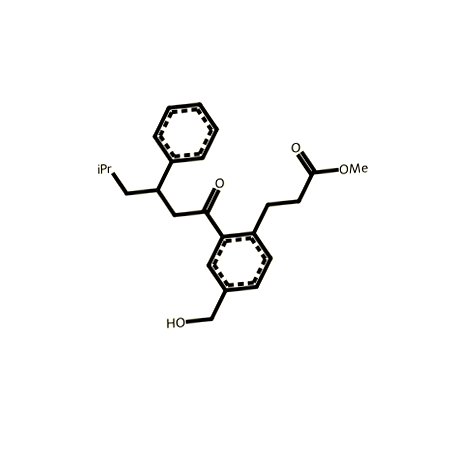 COC(=O)CCc1ccc(CO)cc1C(=O)CC(CC(C)C)c1ccccc1